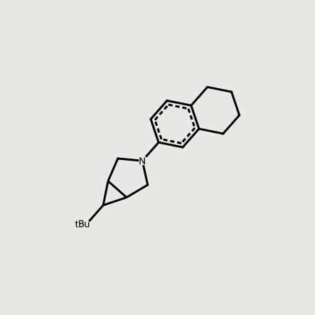 CC(C)(C)C1C2CN(c3ccc4c(c3)CCCC4)CC21